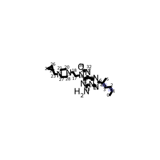 C/C=C\C=C(/C)c1nc2c3c(nc(N)n2n1)n(CCN1CCN(CC2CC2)CC1)c(=O)n3C